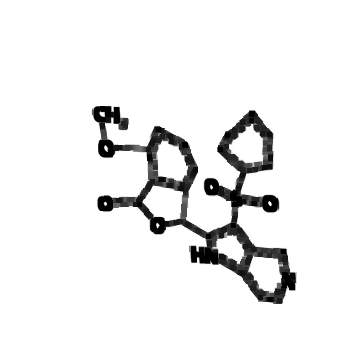 COc1cccc2c1C(=O)OC2c1[nH]c2ccncc2c1S(=O)(=O)c1ccccc1